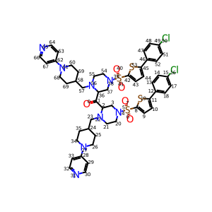 O=C(C1CN(S(=O)(=O)c2ccc(-c3ccc(Cl)cc3)s2)CCN1CC1CCN(c2ccncc2)CC1)C1CN(S(=O)(=O)c2ccc(-c3ccc(Cl)cc3)s2)CCN1CC1CCN(c2ccncc2)CC1